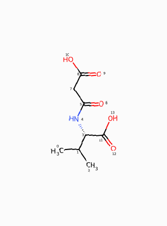 CC(C)[C@H](NC(=O)CC(=O)O)C(=O)O